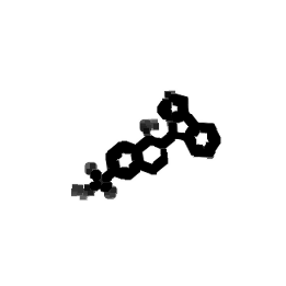 NS(=O)(=O)c1ccc2c(c1)CC[C@@H]([C@@H]1c3ccccc3-c3cncn31)[C@H]2O